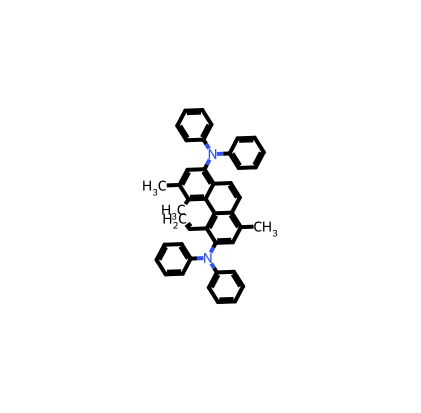 C=Cc1c(N(c2ccccc2)c2ccccc2)cc(C)c2ccc3c(N(c4ccccc4)c4ccccc4)cc(C)c(C)c3c12